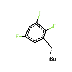 CC[C@@H](C)Cc1cc(F)cc(F)c1F